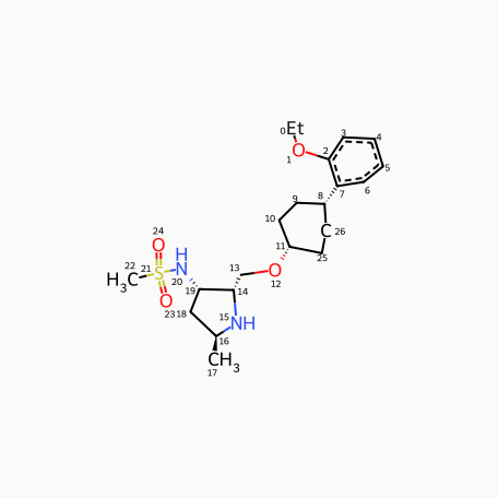 CCOc1ccccc1[C@H]1CC[C@@H](OC[C@@H]2N[C@@H](C)C[C@@H]2NS(C)(=O)=O)CC1